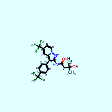 CC(C)(O)CC(=O)Nc1nn2ccc(C(F)(F)F)cc2c1-c1ccc(C(F)(F)F)cc1